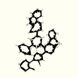 CC1=C(c2ccc(-c3ccc4oc5ccccc5c4c3-c3nc(-c4ccccc4)nc(-c4ccc5c(ccc6ccccc65)c4)n3)cc2C)CCC=C1